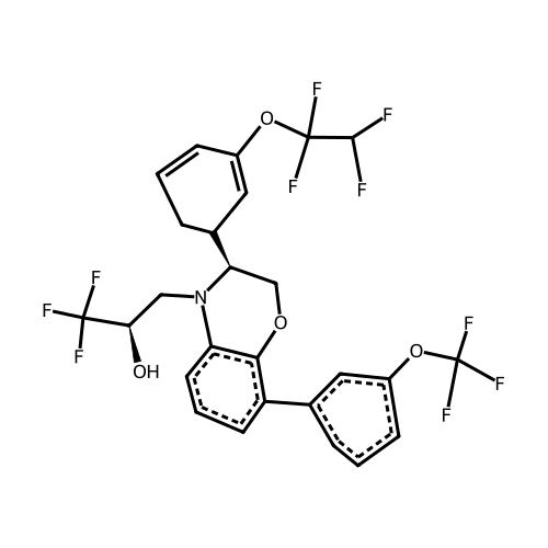 O[C@H](CN1c2cccc(-c3cccc(OC(F)(F)F)c3)c2OC[C@@H]1C1C=C(OC(F)(F)C(F)F)C=CC1)C(F)(F)F